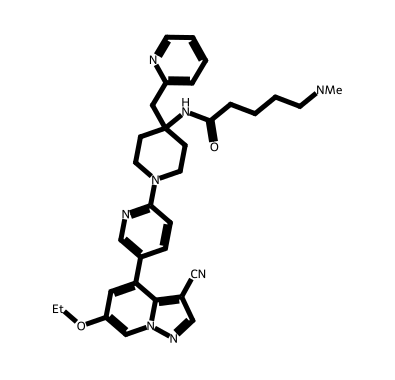 CCOc1cc(-c2ccc(N3CCC(Cc4ccccn4)(NC(=O)CCCCNC)CC3)nc2)c2c(C#N)cnn2c1